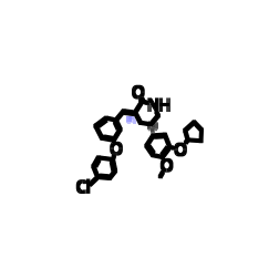 COc1ccc([C@H]2CNC(=O)/C(=C/c3cccc(Oc4ccc(Cl)cc4)c3)C2)cc1OC1CCCC1